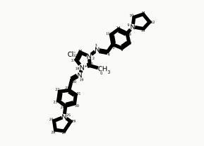 Cc1n(/N=C/c2ccc(N3CCCC3)cc2)cc[n+]1/N=C/c1ccc(N2CCCC2)cc1.[Cl-]